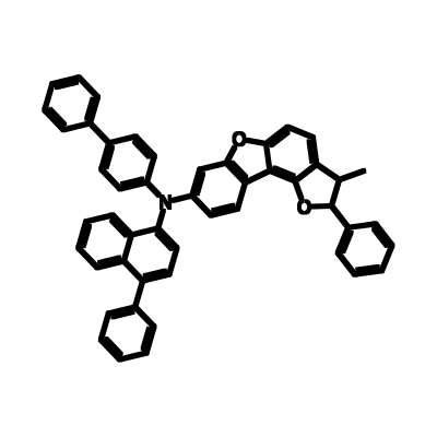 CC1c2ccc3oc4cc(N(c5ccc(-c6ccccc6)cc5)c5ccc(-c6ccccc6)c6ccccc56)ccc4c3c2OC1c1ccccc1